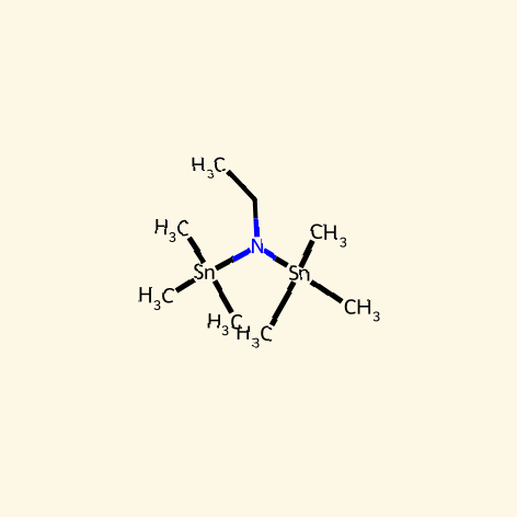 CC[N]([Sn]([CH3])([CH3])[CH3])[Sn]([CH3])([CH3])[CH3]